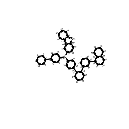 c1ccc(-c2ccc(N(c3ccc(-c4ccccc4-c4cccc(-c5cccc6ccccc56)c4)cc3)c3ccc4sc5ccccc5c4c3)cc2)cc1